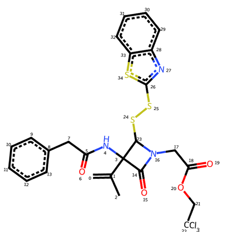 C=C(C)C1(NC(=O)Cc2ccccc2)C(=O)N(CC(=O)OCC(Cl)(Cl)Cl)C1SSc1nc2ccccc2s1